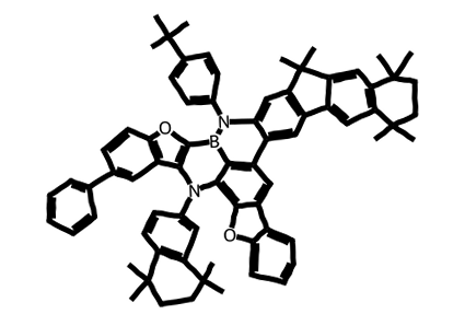 CC(C)(C)c1ccc(N2B3c4oc5ccc(-c6ccccc6)cc5c4N(c4ccc5c(c4)C(C)(C)CCC5(C)C)c4c3c(cc3c4oc4ccccc43)-c3cc4c(cc32)C(C)(C)c2cc3c(cc2-4)C(C)(C)CCC3(C)C)cc1